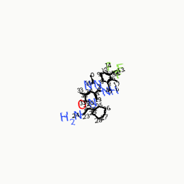 Cc1nc(N[C@@H](C)c2cccc(C(F)(F)F)c2C)c2cn(C3(CCN)CCCCC3)c(=O)c(C)c2n1